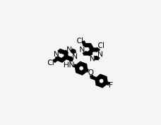 Clc1cc2c(Cl)ncnc2cn1.Fc1ccc(COc2ccc(Nc3ncnc4cnc(Cl)cc34)cc2)cc1